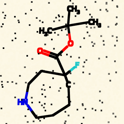 CC(C)(C)OC(=O)C1(F)CCCCNCC1